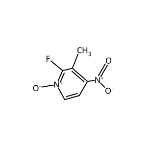 Cc1c([N+](=O)[O-])cc[n+]([O-])c1F